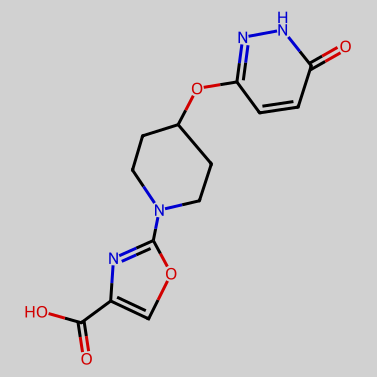 O=C(O)c1coc(N2CCC(Oc3ccc(=O)[nH]n3)CC2)n1